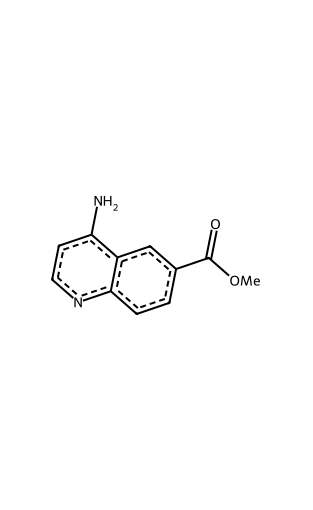 COC(=O)c1ccc2nccc(N)c2c1